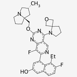 CCc1c(F)ccc2cc(O)cc(-c3ncc4c(N5CCCC56COC6)nc(OC[C@@]56CCCN5C[C@H](C)C6)nc4c3F)c12